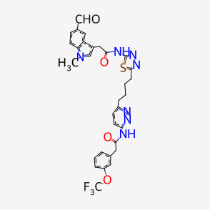 Cn1cc(CC(=O)Nc2nnc(CCCCc3ccc(NC(=O)Cc4cccc(OC(F)(F)F)c4)nn3)s2)c2cc(C=O)ccc21